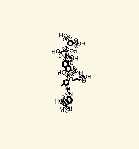 Cc1cc(N=Nc2c(S(=O)(=O)O)cc3c(S(=O)(=O)O)c(N=Nc4c(C(=O)O)nn(-c5cc(S(=O)(=O)O)cc(S(=O)(=O)O)c5)c4O)ccc3c2O)c(OCCCS(=O)(=O)O)cc1N=Nc1nc2ccc(S(=O)(=O)O)c(S(=O)(=O)O)c2s1